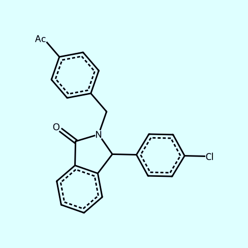 CC(=O)c1ccc(CN2C(=O)c3ccccc3C2c2ccc(Cl)cc2)cc1